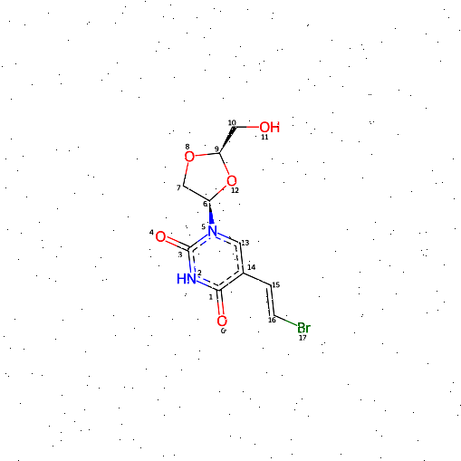 O=c1[nH]c(=O)n([C@H]2CO[C@@H](CO)O2)cc1C=CBr